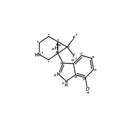 FC1(F)[C@H]2CCNCC21c1n[nH]c2c(Cl)cccc12